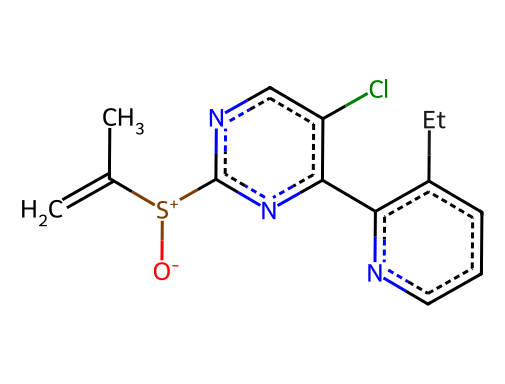 C=C(C)[S+]([O-])c1ncc(Cl)c(-c2ncccc2CC)n1